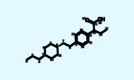 CCC[C@H]1CC[C@H](CCc2ccc(C(CC)C(=O)O)cc2)CC1